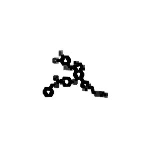 COCCn1cc(-c2cc3ncnc(Nc4ccc(F)c(Cl)c4)c3cc2OC2CCN(C(=O)OCc3ccccc3)CC2)cn1